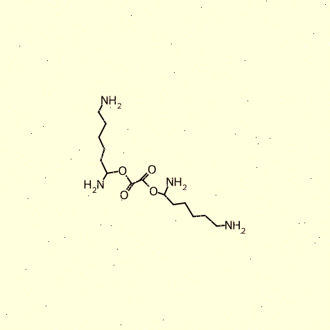 NCCCCCC(N)OC(=O)C(=O)OC(N)CCCCCN